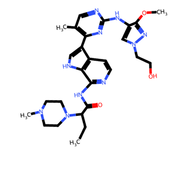 CCC(C(=O)Nc1nccc2c(-c3nc(Nc4cn(CCO)nc4OC)ncc3C)c[nH]c12)N1CCN(C)CC1